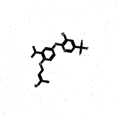 CC(C)c1cc(Oc2ncc(C(F)(F)F)cc2Cl)ccc1OCC=C(Br)Br